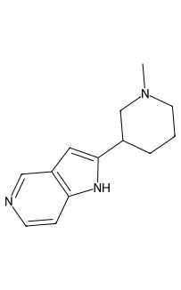 CN1CCCC(c2cc3cnccc3[nH]2)C1